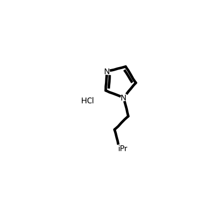 CC(C)CCn1ccnc1.Cl